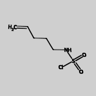 C=CCCCNS(=O)(=O)Cl